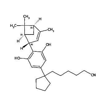 CC1=C[C@H](c2c(O)cc(C3(CCCCCC#N)CCCC3)cc2O)[C@@H]2C[C@H]1C2(C)C